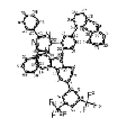 FC(F)(F)c1cc(-c2ccc3c(c2)c2ccccc2n3-c2ccc(-c3cccc4sc5ccccc5c34)cc2-c2nc(-c3ccccc3)nc(-c3ccccc3)n2)cc(C(F)(F)F)c1